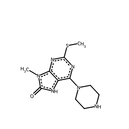 CSc1nc(N2CCNCC2)c2[nH]c(=O)n(C)c2n1